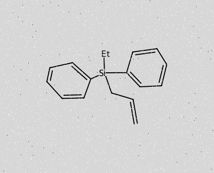 C=CC[Si](CC)(c1ccccc1)c1ccccc1